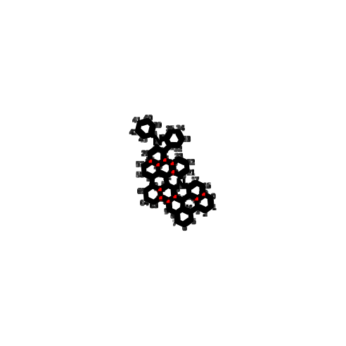 c1ccc(-c2cccc3cccc(-c4ccccc4N(c4cccc(-c5cccc6c5c5ccccc5n6-c5ccccc5)c4)c4ccccc4-c4cccc5cccc(C6CCCCC6)c45)c23)cc1